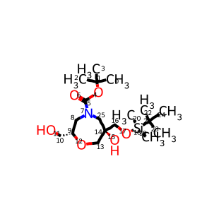 CC(C)(C)OC(=O)N1C[C@@H](CO)OC[C@@](O)(CO[Si](C)(C)C(C)(C)C)C1